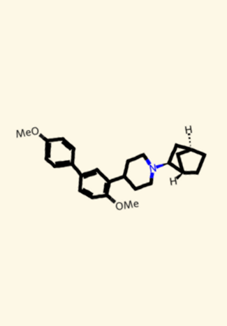 COc1ccc(-c2ccc(OC)c(C3CCN([C@H]4C[C@H]5CC[C@H]4C5)CC3)c2)cc1